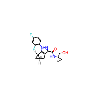 O=C(NC1(CO)CC1)c1nn(-c2ccc(F)cc2F)c2c1C[C@@H]1C[C@H]21